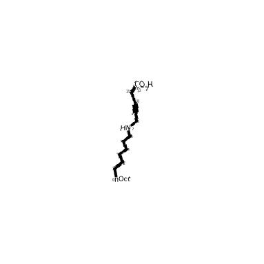 CCCCCCCCCCCCCCNCC#CCC(=O)O